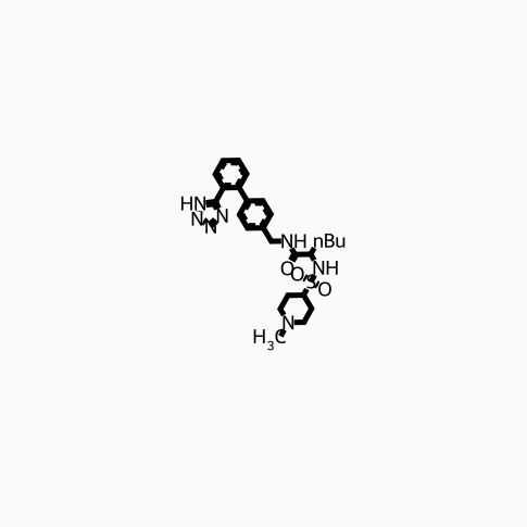 CCCCC(NS(=O)(=O)C1CCN(C)CC1)C(=O)NCc1ccc(-c2ccccc2-c2nnn[nH]2)cc1